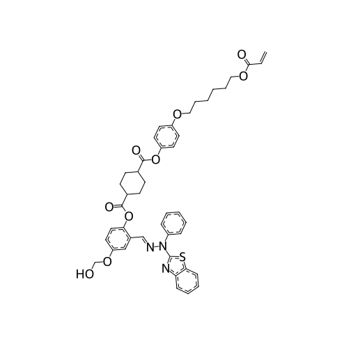 C=CC(=O)OCCCCCCOc1ccc(OC(=O)C2CCC(C(=O)Oc3ccc(OCO)cc3/C=N/N(c3ccccc3)c3nc4ccccc4s3)CC2)cc1